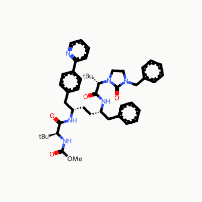 COC(=O)N[C@H](C(=O)N[C@@H](C[CH][C@@H](Cc1ccccc1)NC(=O)[C@@H](N1CCN(Cc2ccccc2)C1=O)C(C)(C)C)Cc1ccc(-c2ccccn2)cc1)C(C)(C)C